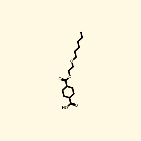 CCCCCCOCCOC(=O)C1CCC(C(=O)O)CC1